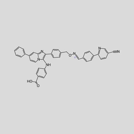 N#Cc1ccc(-c2ccc(/C=N/OCc3ccc(-c4nc5cc(-c6ccccc6)ccn5c4Nc4ccc(C(=O)O)cc4)cc3)cc2)nc1